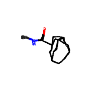 CC(C)(C)NC(=O)C12CCC3CC(CC(C3)C1)C2